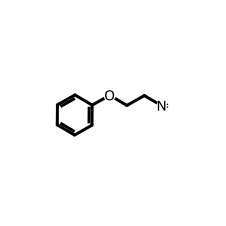 [N]CCOc1ccccc1